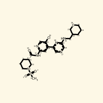 CS(=O)(=O)N1CCC[C@H](C(=O)Nc2cc(-c3cncc(NCC4CCCOC4)n3)c(Cl)cn2)C1